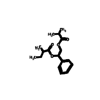 CCC(C)C(=O)OC(COC(=O)C(C)C)c1ccccc1